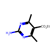 CCOC(=O)c1c(C)nc(N)nc1C